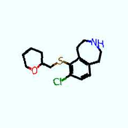 Clc1ccc2c(c1SCC1CCCCO1)CCNCC2